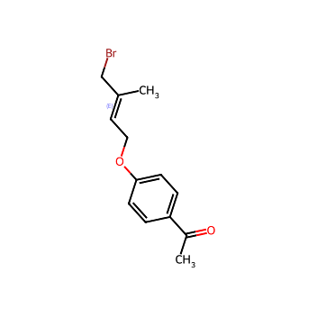 CC(=O)c1ccc(OC/C=C(\C)CBr)cc1